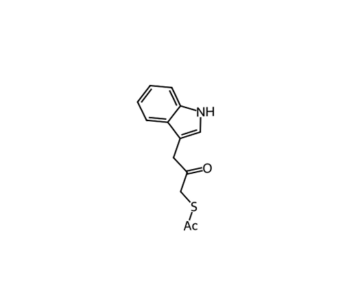 CC(=O)SCC(=O)Cc1c[nH]c2ccccc12